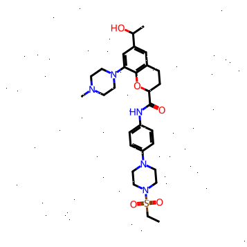 CCS(=O)(=O)N1CCN(c2ccc(NC(=O)C3CCc4cc(C(C)O)cc(N5CCN(C)CC5)c4O3)cc2)CC1